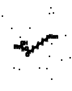 CCCCCCCCCCCCCCCCC(=O)OCC(O)CC